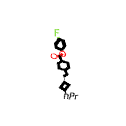 CCC[C@H]1C[C@H](CCC2CCC(C(=O)Oc3ccc(F)cc3)CC2)C1